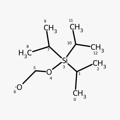 CC(C)[Si](OC[O])(C(C)C)C(C)C